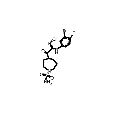 NS(=O)(=O)N1CCCC(C(=O)/C(=N/O)Nc2ccc(F)c(Br)c2)CC1